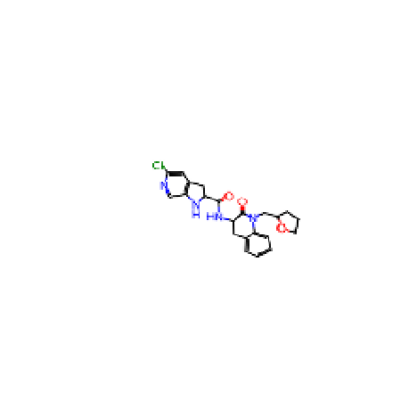 O=C(NC1Cc2ccccc2N(CC2CCCO2)C1=O)C1Cc2cc(Cl)ncc2N1